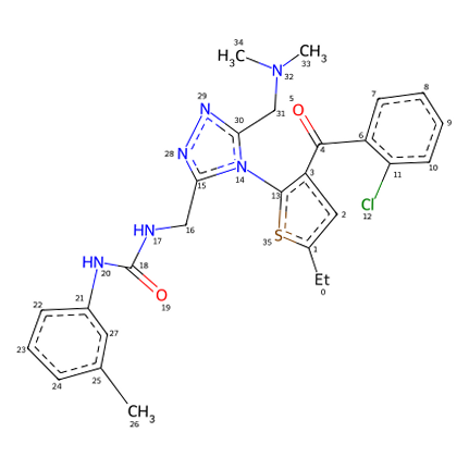 CCc1cc(C(=O)c2ccccc2Cl)c(-n2c(CNC(=O)Nc3cccc(C)c3)nnc2CN(C)C)s1